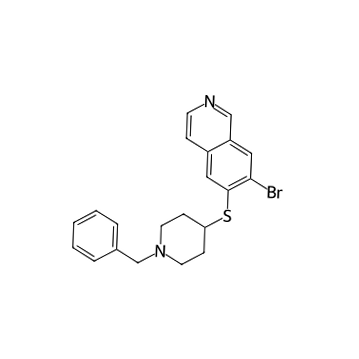 Brc1cc2cnccc2cc1SC1CCN(Cc2ccccc2)CC1